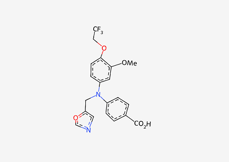 COc1cc(N(Cc2cnco2)c2ccc(C(=O)O)cc2)ccc1OCC(F)(F)F